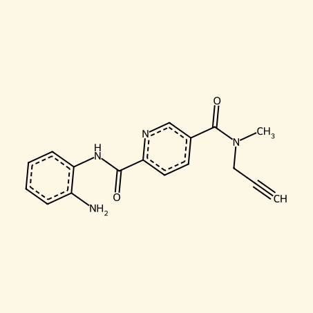 C#CCN(C)C(=O)c1ccc(C(=O)Nc2ccccc2N)nc1